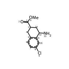 COC(=O)C1Cc2ccc(Cl)cc2C(N)C1